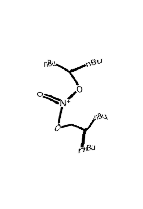 CCCCC(CCCC)O[N+](=O)OC(CCCC)CCCC